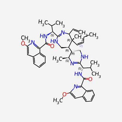 C=CC1N=C([C@@H](NC(=O)c2nc(OC)cc3ccccc23)C(C)C)NC[C@H]([C@@H]2CNC([C@@H](NC(=O)c3nc(OC)cc4ccccc34)C(C)C)=N[C@H]2C)[C@@]1(C)/C=C\CC